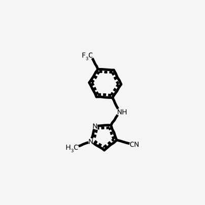 Cn1cc(C#N)c(Nc2ccc(C(F)(F)F)cc2)n1